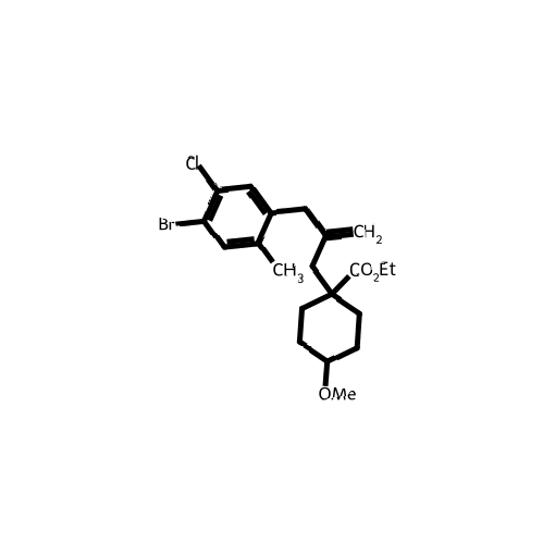 C=C(Cc1cc(Cl)c(Br)cc1C)CC1(C(=O)OCC)CCC(OC)CC1